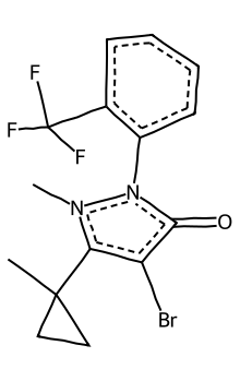 Cn1c(C2(C)CC2)c(Br)c(=O)n1-c1ccccc1C(F)(F)F